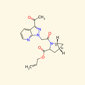 C=CCOC(=O)C1C[C@H]2C[C@H]2N1C(=O)Cn1nc(C(C)=O)c2cccnc21